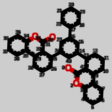 O=c1oc2ccccc2c2cccc(-c3cc(-c4ccccc4)cc(-c4cccc5c4c(=O)oc4ccccc45)c3)c12